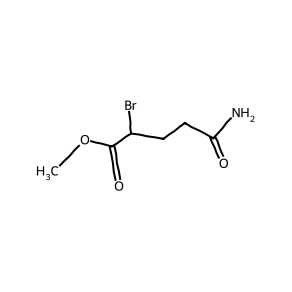 COC(=O)C(Br)CCC(N)=O